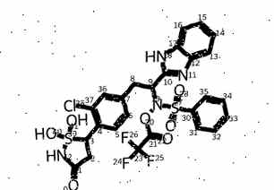 O=C1CC(c2ccc(CC(c3nc4ccccc4[nH]3)N(OC(=O)C(F)(F)F)S(=O)(=O)c3ccccc3)cc2Cl)S(O)(O)N1